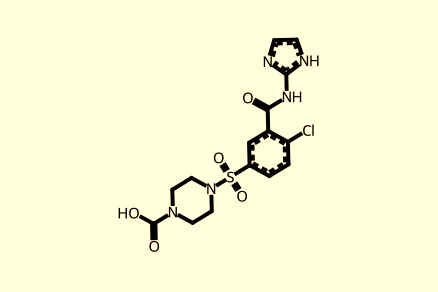 O=C(Nc1ncc[nH]1)c1cc(S(=O)(=O)N2CCN(C(=O)O)CC2)ccc1Cl